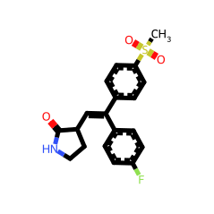 CS(=O)(=O)c1ccc(/C(=C/C2CCNC2=O)c2ccc(F)cc2)cc1